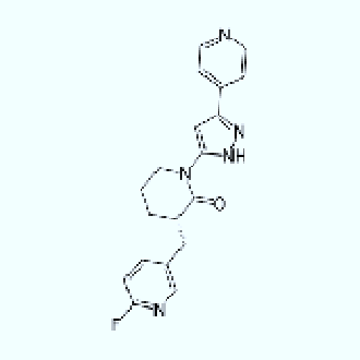 O=C1[C@H](Cc2ccc(F)nc2)CCCN1c1cc(-c2ccncc2)n[nH]1